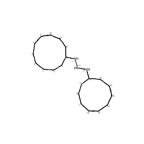 B(BC1CCCCCCCCCC1)BC1CCCCCCCCC1